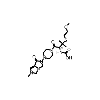 COCCSC(C)(C)[C@@H](NC(=O)O)C(=O)N1CCN(N2CN3CN(C)C=C3C2=O)CC1